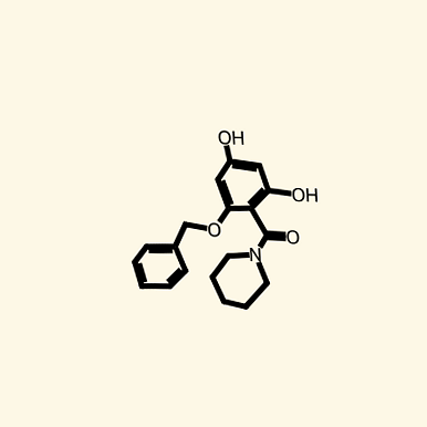 O=C(c1c(O)cc(O)cc1OCc1ccccc1)N1CCCCC1